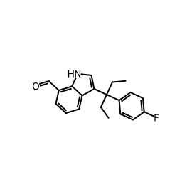 CCC(CC)(c1ccc(F)cc1)c1c[nH]c2c(C=O)cccc12